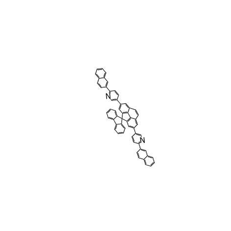 c1ccc2c(c1)-c1ccccc1C21c2cc(-c3ccc(-c4ccc5ccccc5c4)nc3)cc3ccc4cc(-c5ccc(-c6ccc7ccccc7c6)nc5)cc1c4c23